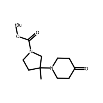 CC(C)(C)OC(=O)N1CCC(C)(N2CCC(=O)CC2)C1